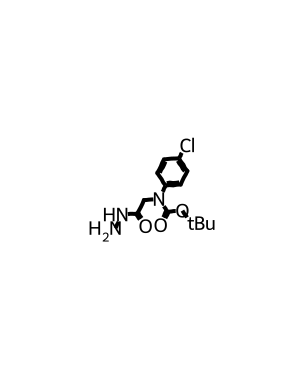 CC(C)(C)OC(=O)N(CC(=O)NN)c1ccc(Cl)cc1